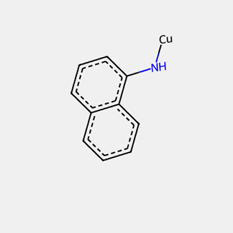 [Cu][NH]c1cccc2ccccc12